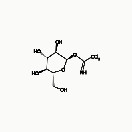 N=C(O[C@H]1O[C@H](CO)[C@@H](O)[C@H](O)[C@H]1O)C(Cl)(Cl)Cl